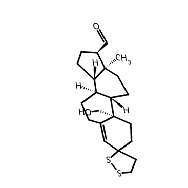 C[C@]12CC[C@H]3[C@@H](CCC4=CC5(CCSS5)CC[C@@]43CO)[C@@H]1CC[C@H]2C=O